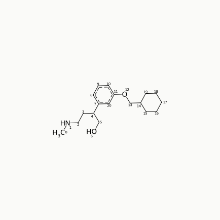 CNCCC(CO)c1cccc(OCC2CCCCC2)c1